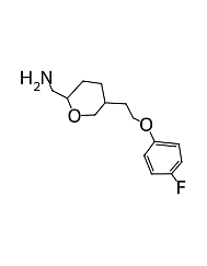 NCC1CCC(CCOc2ccc(F)cc2)CO1